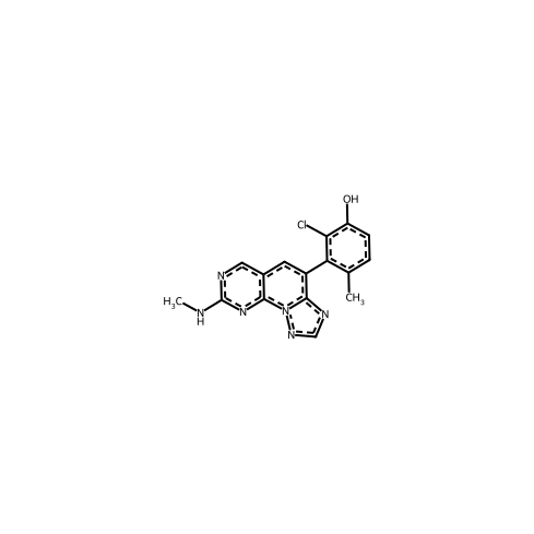 CNc1ncc2cc(-c3c(C)ccc(O)c3Cl)c3ncnn3c2n1